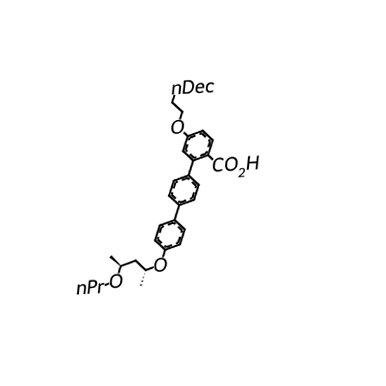 CCCCCCCCCCCCOc1ccc(C(=O)O)c(-c2ccc(-c3ccc(O[C@H](C)C[C@H](C)OCCC)cc3)cc2)c1